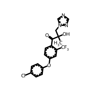 CC(O)(Cn1cncn1)C(=O)c1ccc(Oc2ccc(Cl)cc2)cc1C(F)(F)F